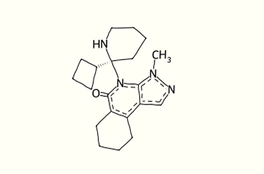 Cn1ncc2c3c(c(=O)n([C@]4(C5CCC5)CCCCN4)c21)CCCC3